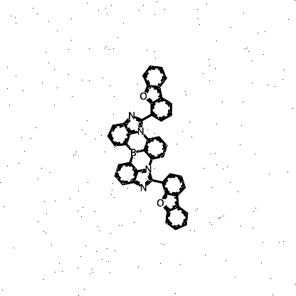 c1cc2c3c(c1)-n1c(-c4cccc5c4oc4ccccc45)nc4cccc(c41)B3c1cccc3nc(-c4cccc5c4oc4ccccc45)n-2c13